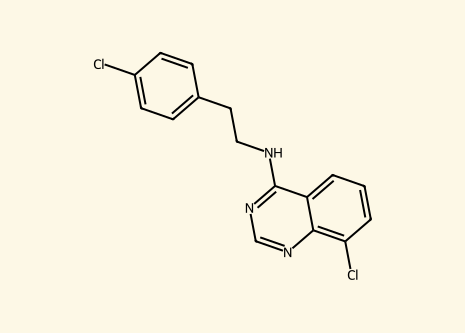 Clc1ccc(CCNc2ncnc3c(Cl)cccc23)cc1